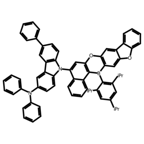 CC(C)c1cc(C(C)C)c(B2c3cc4oc5ccccc5c4cc3Oc3cc(-n4c5ccc(-c6ccccc6)cc5c5cc(N(c6ccccc6)c6ccccc6)ccc54)c4ccccc4c32)c(C(C)C)c1